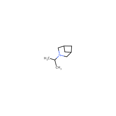 CC(C)N1CC2CC(C2)C1